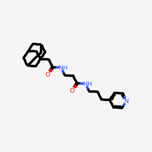 O=C(CCNC(=O)CC12CC3CC(CC(C3)C1)C2)NCCCc1ccncc1